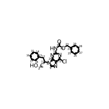 O=C(Nc1nc(Cl)c2ncn(C(Cc3ccccc3)C(=O)O)c2n1)OCc1ccccc1